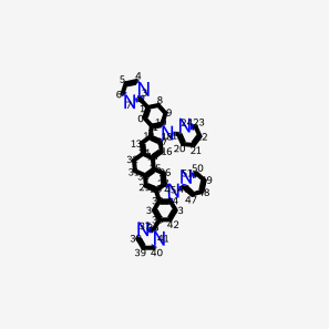 C1=C(c2ncccn2)CCc2c1c1cc3c(cc1n2-c1ccccn1)-c1cc2c(cc1CC3)c1cc(-c3ncccn3)ccc1n2-c1ccccn1